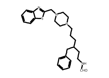 O=CNCCC(CCCN1CCN(Cc2nc3ccccc3s2)CC1)Cc1ccccc1